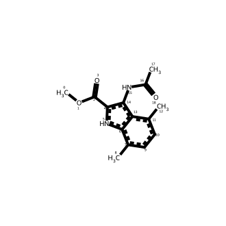 COC(=O)c1[nH]c2c(C)ccc(C)c2c1NC(C)=O